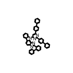 c1ccc(-c2ccc(-c3cc(-n4c5ccccc5c5ccc6c(nc7c8ccccc8c8ccccc8n67)c54)nc(-c4ccc(-c5ccccc5)cc4)n3)cc2)cc1